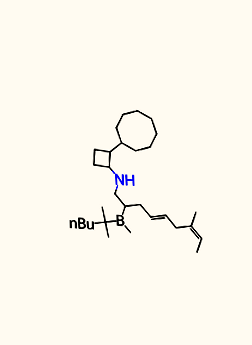 C/C=C(/C)C/C=C/CC(CNC1CCC1C1CCCCCCC1)B(C)C(C)(C)CCCC